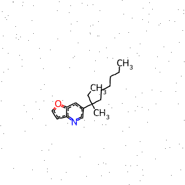 CCCCCCC(C)(CC)c1cnc2ccoc2c1